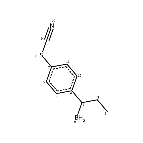 BC(CC)c1ccc(SC#N)cc1